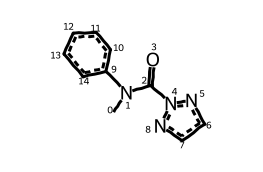 CN(C(=O)n1nccn1)c1ccccc1